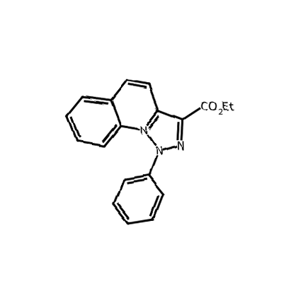 CCOC(=O)c1nn(-c2ccccc2)[n+]2c1ccc1ccccc12